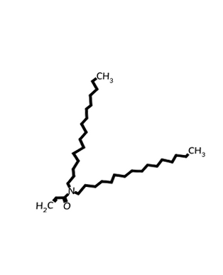 C=CC(=O)N(CCCCCCCCCCCCCCCC)CCCCCCCCCCCCCCCC